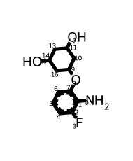 Nc1c(F)cccc1OC1CC(O)CC(O)C1